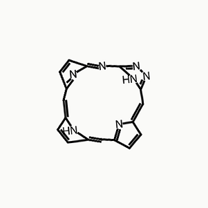 C1=Cc2cc3nnc(nc4nc(cc5ccc(cc1n2)[nH]5)C=C4)[nH]3